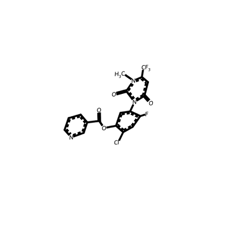 Cn1c(C(F)(F)F)cc(=O)n(-c2cc(OC(=O)c3cccnc3)c(Cl)cc2F)c1=O